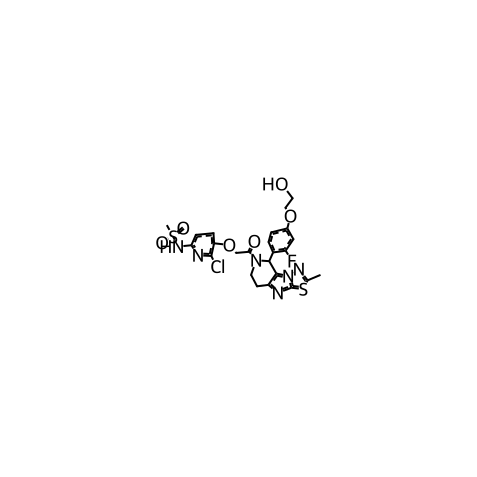 Cc1nn2c3c(nc2s1)CCN(C(=O)COc1ccc(NS(C)(=O)=O)nc1Cl)C3c1ccc(OCCO)cc1F